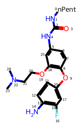 CCCCCNC(=O)Nc1ccc(Oc2ccc(N)c(F)c2)c(OCCN(C)C)c1